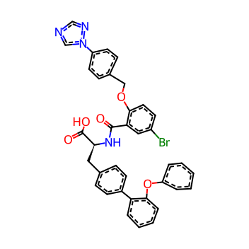 O=C(N[C@@H](Cc1ccc(-c2ccccc2Oc2ccccc2)cc1)C(=O)O)c1cc(Br)ccc1OCc1ccc(-n2cncn2)cc1